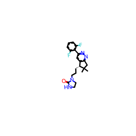 CC1(C)Cc2nnc(-c3c(F)cccc3F)cc2[C@H]1CCCN1CCNC1=O